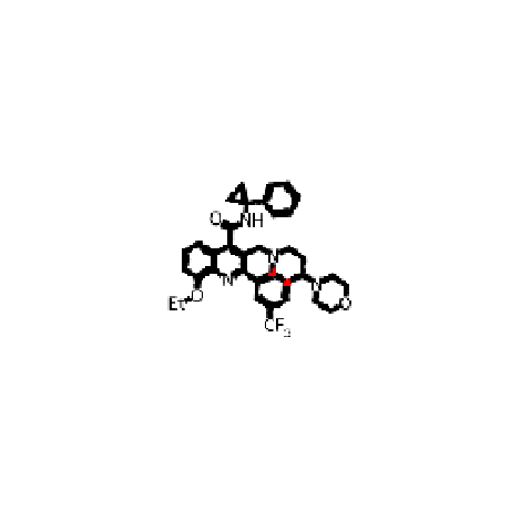 CCOc1cccc2c(C(=O)NC3(c4ccccc4)CC3)c(CN3CCC(N4CCOCC4)CC3)c(-c3cccc(C(F)(F)F)c3)nc12